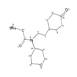 CC(C)(C)OC(=O)N(CCC1CCC(=O)CC1)C1CCOCC1